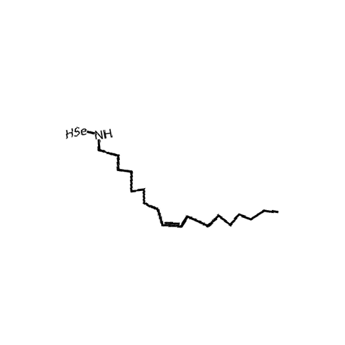 CCCCCCCC/C=C\CCCCCCCCN[SeH]